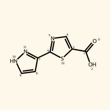 O=C(O)c1cnc(-c2cc[nH]n2)s1